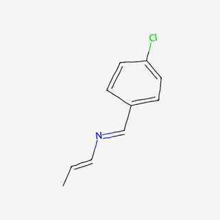 C/C=C/N=C/c1ccc(Cl)cc1